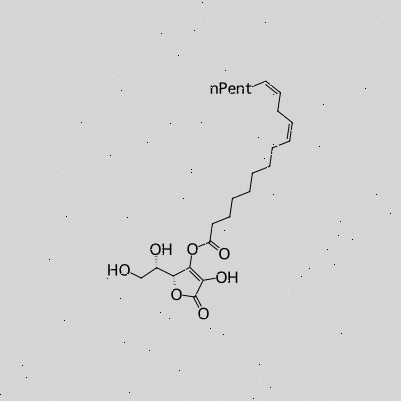 CCCCC/C=C\C/C=C\CCCCCCCC(=O)OC1=C(O)C(=O)O[C@@H]1[C@@H](O)CO